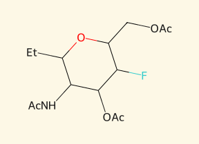 CCC1OC(COC(C)=O)C(F)C(OC(C)=O)C1NC(C)=O